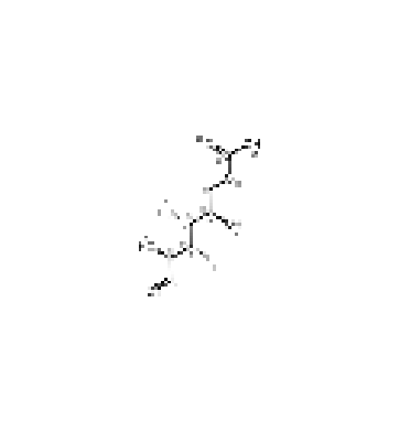 O=C[C@@H](O)[C@@H](O)[C@H](O)[C@H](O)COS(=O)O